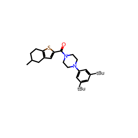 CC1CCc2sc(C(=O)N3CCN(c4cc(C(C)(C)C)cc(C(C)(C)C)c4)CC3)cc2C1